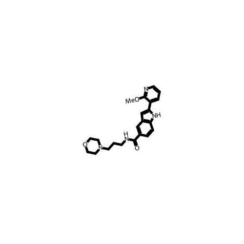 COc1ncccc1-c1cc2cc(C(=O)NCCCN3CCOCC3)ccc2[nH]1